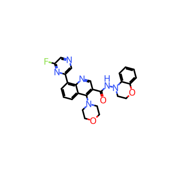 O=C(NN1CCOc2ccccc21)c1cnc2c(-c3cncc(F)n3)cccc2c1N1CCOCC1